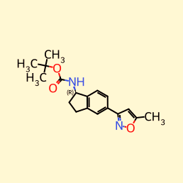 Cc1cc(-c2ccc3c(c2)CC[C@H]3NC(=O)OC(C)(C)C)no1